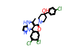 CC1=C(C(=O)N2CCC(O)(c3ccc(Cl)cc3)CC2)C(c2ccc(Cl)c(Cl)c2)n2nccc2N1